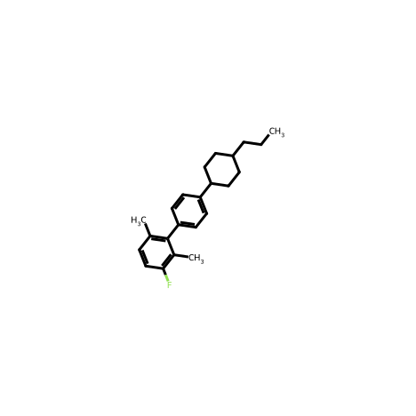 CCCC1CCC(c2ccc(-c3c(C)ccc(F)c3C)cc2)CC1